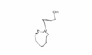 OCCN1CCCCS1